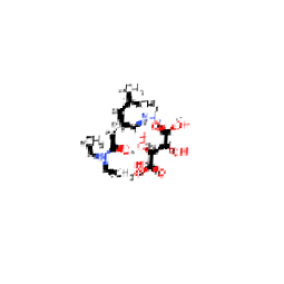 CCN(CC)C(=O)C[C@@H](CN)CC(C)C.O=C(O)C(O)C(O)C(=O)O